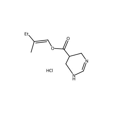 CCC(C)=COC(=O)C1CN=CNC1.Cl